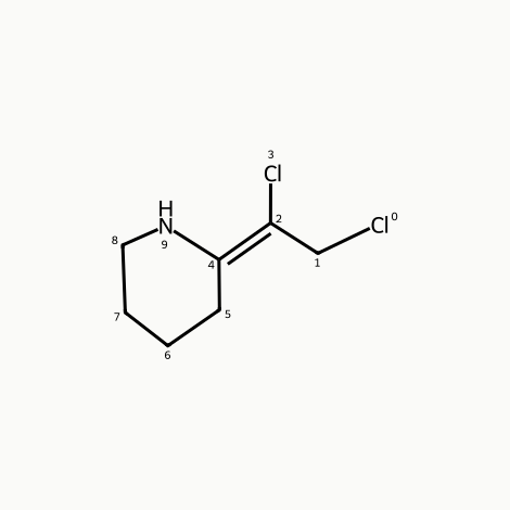 ClCC(Cl)=C1CCCCN1